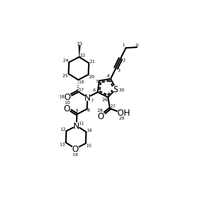 CCC#Cc1cc(N(CC(=O)N2CCOCC2)C(=O)[C@H]2CC[C@H](C)CC2)c(C(=O)O)s1